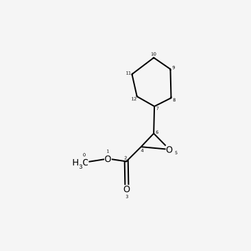 COC(=O)C1OC1C1CCCCC1